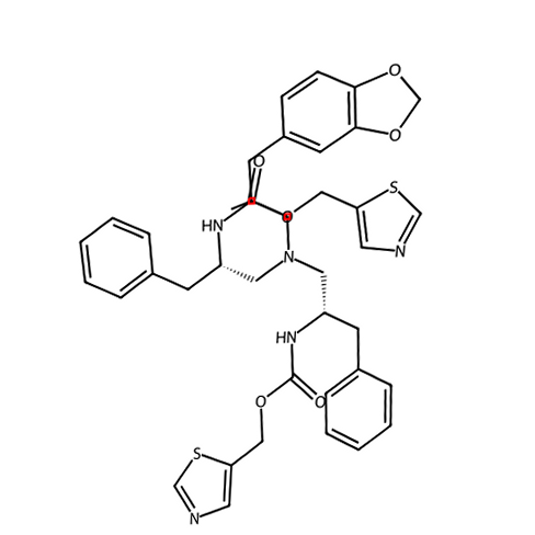 CC(Cc1ccc2c(c1)OCO2)CN(C[C@H](Cc1ccccc1)NC(=O)OCc1cncs1)C[C@H](Cc1ccccc1)NC(=O)OCc1cncs1